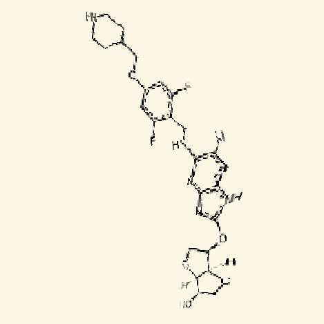 O[C@@H]1CO[C@H]2[C@@H]1OC[C@H]2Oc1nc2nc(NCc3c(F)cc(OCC4CCNCC4)cc3F)c(Cl)cc2[nH]1